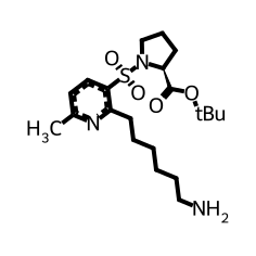 Cc1ccc(S(=O)(=O)N2CCC[C@H]2C(=O)OC(C)(C)C)c(CCCCCCN)n1